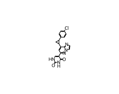 O=c1[nH]cc(-c2cc(C3CC3c3ccc(Cl)cc3)c3nccn3n2)c(=O)[nH]1